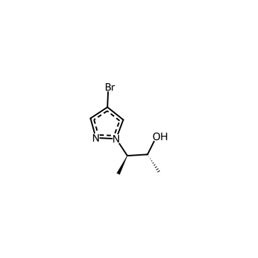 C[C@H]([C@@H](C)O)n1cc(Br)cn1